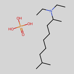 CCN(CC)C(C)CCCCCC(C)C.O=P(O)(O)O